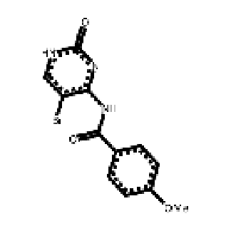 COc1ccc(C(=O)Nc2nc(=O)[nH]cc2Br)cc1